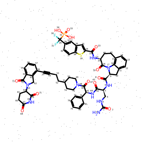 NC(=O)NC[C@H](NC(=O)[C@@H]1Cc2cccc3c2N1C(=O)[C@@H](NC(=O)c1cc2cc(C(F)(F)P(=O)(O)O)ccc2s1)CC3)C(=O)N[C@H](C(=O)N1CCC(CCC#Cc2cccc3c2CN(C2CCC(=O)NC2=O)C3=O)CC1)c1ccccc1